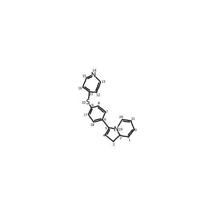 C1=CC2CC=C(c3ccc(Sc4ccncc4)cc3)N2C=C1